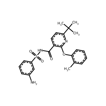 Cc1ccccc1Oc1nc(C(C)(C)C)ccc1C(=O)NS(=O)(=O)c1cccc(N)c1